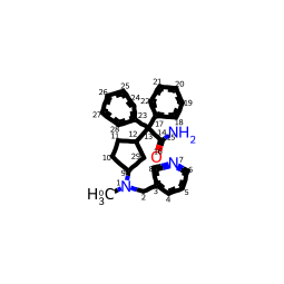 CN(Cc1cccnc1)C1CCC(C(C(N)=O)(c2ccccc2)c2ccccc2)C1